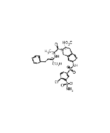 C[C@H](N[C@@H](CCc1ccccc1)C(=O)O)C(=O)N1Cc2cc(NS(=O)(=O)c3ccc(Cl)c(S(N)(=O)=O)c3)ccc2C[C@H]1C(=O)O